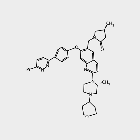 CC(C)c1ccc(-c2ccc(Oc3cc4nc(N5CCN(C6CCOCC6)C[C@H]5C)ccc4cc3CN3C[C@@H](C)CC3=O)cc2)nn1